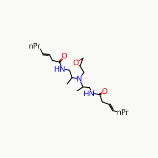 CCCC=CCC(=O)NCC(C)N(CC1CO1)C(C)CNC(=O)CC=CCCC